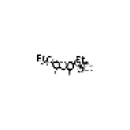 CCC(C)(C)Oc1cc(C)c(Cc2c(C)cc(OC(=O)C(C)(CC)CC)cc2C)c(C)c1